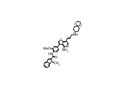 COc1cc(-c2csc3c(/C=C/CNC4CCC5(CC4)OCCO5)cnc(N)c23)ccc1NC(=O)c1cc2ccccc2n1C